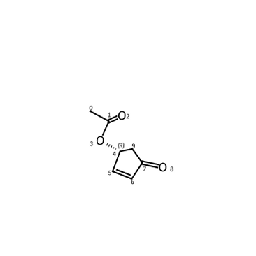 CC(=O)O[C@H]1C=CC(=O)C1